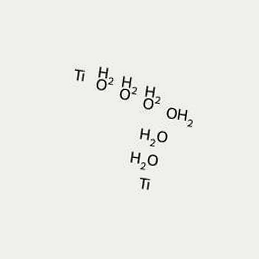 O.O.O.O.O.O.[Ti].[Ti]